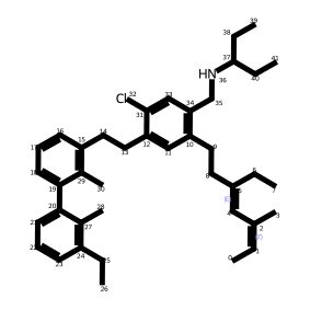 C/C=C(C)\C=C(/CC)CCc1cc(CCc2cccc(-c3cccc(CC)c3C)c2C)c(Cl)cc1CNC(CC)CC